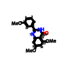 COc1cccc(-c2nc3cc(OC)cc(OC)c3c(=O)[nH]2)c1